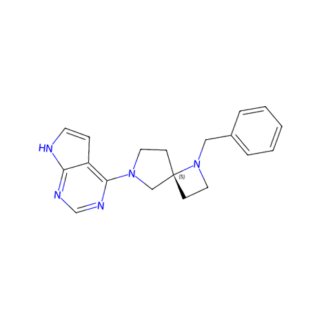 c1ccc(CN2CC[C@@]23CCN(c2ncnc4[nH]ccc24)C3)cc1